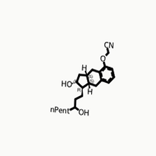 CCCCCC(O)CC[C@@H]1[C@H]2Cc3cccc(OCC#N)c3C[C@H]2C[C@H]1O